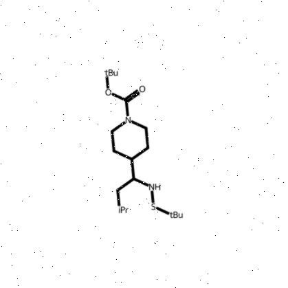 CC(C)CC(NSC(C)(C)C)C1CCN(C(=O)OC(C)(C)C)CC1